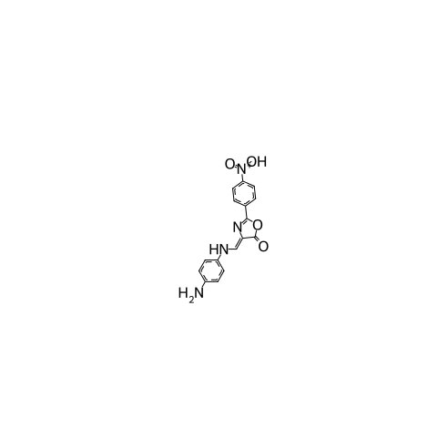 Nc1ccc(N/C=C2\N=C(c3ccc([N+](=O)O)cc3)OC2=O)cc1